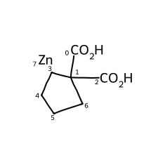 O=C(O)C1(C(=O)O)CCCC1.[Zn]